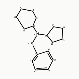 c1ccc(SN(C2CCCCC2)C2CCCC2)cc1